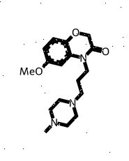 COc1ccc2c(c1)N(CCCN1CCN(C)CC1)C(=O)CO2